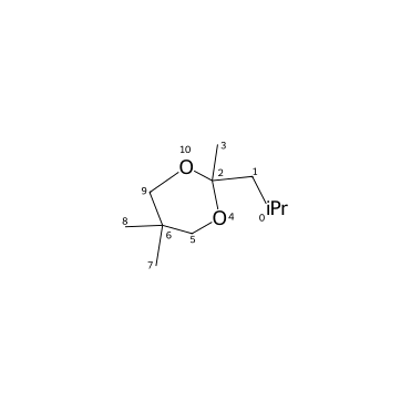 CC(C)CC1(C)OCC(C)(C)CO1